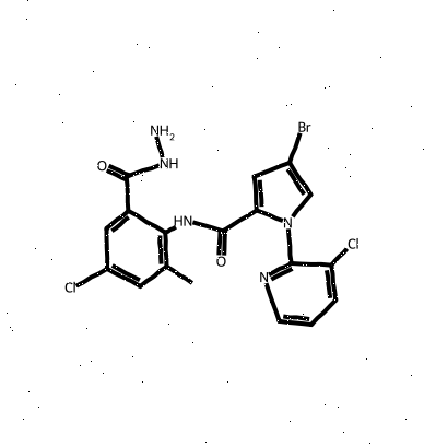 Cc1cc(Cl)cc(C(=O)NN)c1NC(=O)c1cc(Br)cn1-c1ncccc1Cl